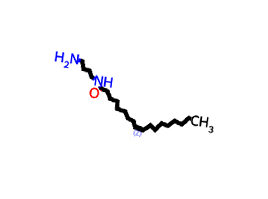 CCCCCCCC/C=C\CCCCCCCC(=O)NCCCCN